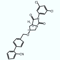 N#Cc1ccccc1-c1ccc(CO[C@H]2C[C@H]3C(=O)N(c4cc(Cl)cc(Cl)c4)C(=O)N3C2)cc1